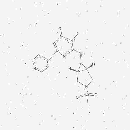 Cn1c(N[C@H]2[C@@H]3CN(S(C)(=O)=O)C[C@@H]32)nc(-c2ccncc2)cc1=O